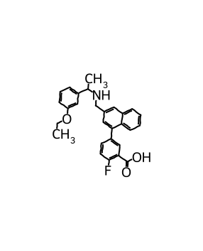 CCOc1cccc(C(C)NCc2cc(-c3ccc(F)c(C(=O)O)c3)c3ccccc3c2)c1